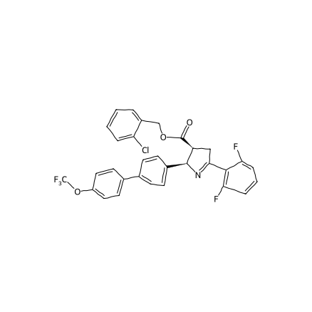 O=C(OCc1ccccc1Cl)[C@H]1CC(c2c(F)cccc2F)=N[C@H]1c1ccc(-c2ccc(OC(F)(F)F)cc2)cc1